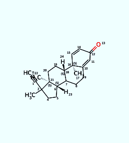 C#CC1(C)CC[C@H]2C3CCC4=CC(=O)C=C[C@]4(C)[C@H]3CC[C@@]21C